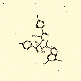 Cc1ccc(C(=O)C(O)[C@H]2O[C@@H](n3cnc4c(Cl)nc(Cl)nc43)[C@H](O)[C@@]2(O)C(=O)c2ccc(C)cc2)cc1